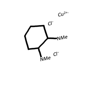 CNC1CCCCC1NC.[Cl-].[Cl-].[Cu+2]